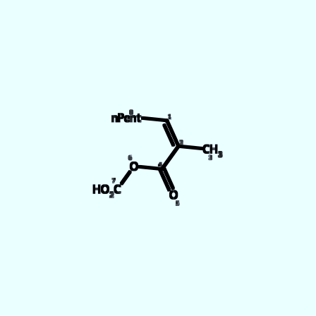 CCCCCC=C(C)C(=O)OC(=O)O